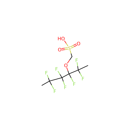 CC(F)(F)C(F)(F)C(F)(OCS(=O)(=O)O)C(C)(F)F